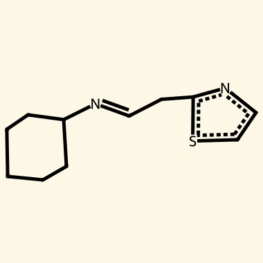 C(Cc1nccs1)=NC1CCCCC1